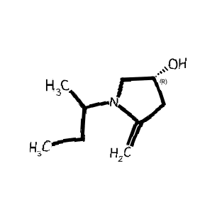 C=C1C[C@@H](O)CN1C(C)CC